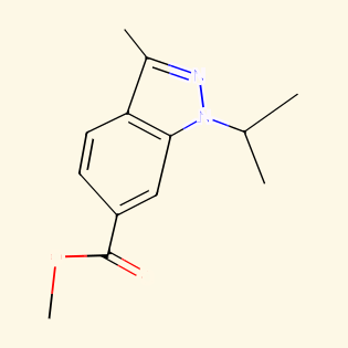 COC(=O)c1ccc2c(C)nn(C(C)C)c2c1